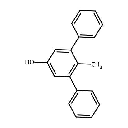 Cc1c(-c2ccccc2)cc(O)cc1-c1ccccc1